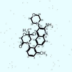 Cc1cccc(N2CC(C)(C)OCC2=O)c1-c1ccc2nc(N)c(N3CCOCC3)cc2c1